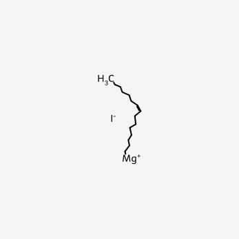 CCCCCC/C=C\CCCCCC[CH2][Mg+].[I-]